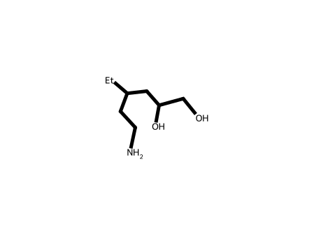 CCC(CCN)CC(O)CO